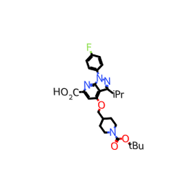 CC(C)c1nn(-c2ccc(F)cc2)c2nc(C(=O)O)cc(OCC3CCN(C(=O)OC(C)(C)C)CC3)c12